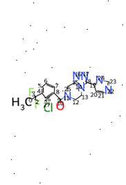 CC(F)(F)c1cccc(C(=O)N2CCn3c(nnc3-c3ccncn3)C2)c1Cl